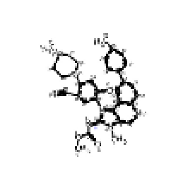 COC(=O)/N=c1\n(C)c2cnc3ccc(-c4ccc(C)cc4)cc3c2n1-c1cc(C#N)c(N2CCN(C)CC2)cc1C